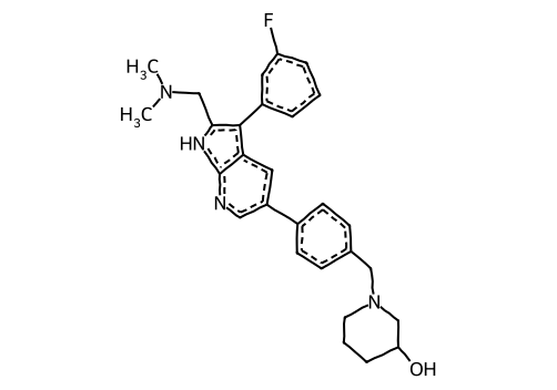 CN(C)Cc1[nH]c2ncc(-c3ccc(CN4CCCC(O)C4)cc3)cc2c1-c1cccc(F)c1